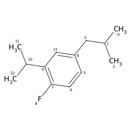 CC(C)Cc1ccc(F)c(C(C)C)c1